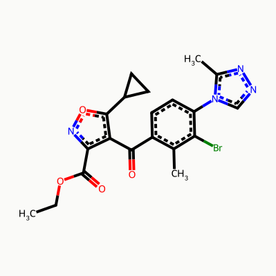 CCOC(=O)c1noc(C2CC2)c1C(=O)c1ccc(-n2cnnc2C)c(Br)c1C